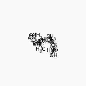 CCCCN(C(=O)Nc1cc(C(N)=O)c(F)cc1F)C1CCN(Cc2ccc(Oc3ccc(C(=O)NCCO)cc3)nc2C)CC1